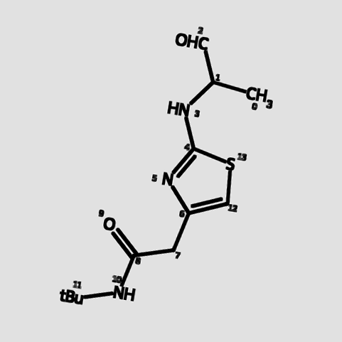 CC(C=O)Nc1nc(CC(=O)NC(C)(C)C)cs1